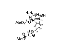 COCCOc1nc(N)c2nc(O)n(Cc3ccc(CNC(=O)/C=C/C(=O)OC)cc3)c2n1